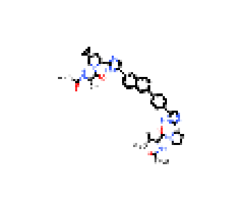 COC(=O)NC(C(=O)N1CC2(CC2)C[C@H]1c1ncc(-c2ccc3cc(-c4ccc(-c5cnc([C@@H]6CCCN6C(=O)[C@@H](NC(=O)OC)C(C)OC)[nH]5)cc4)ccc3c2)[nH]1)C(C)C